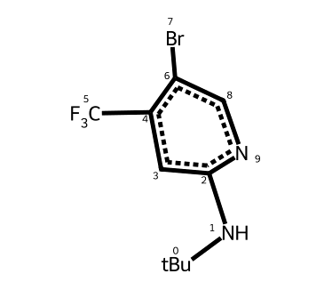 CC(C)(C)Nc1cc(C(F)(F)F)c(Br)cn1